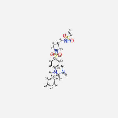 C=CS(=O)(=O)NC[C@H]1CCN(S(=O)(=O)c2ccc(N(Cc3ccccc3)C(=C)N(C)C)cc2)C1